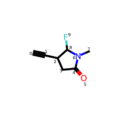 C#CC1CC(=O)N(C)C1F